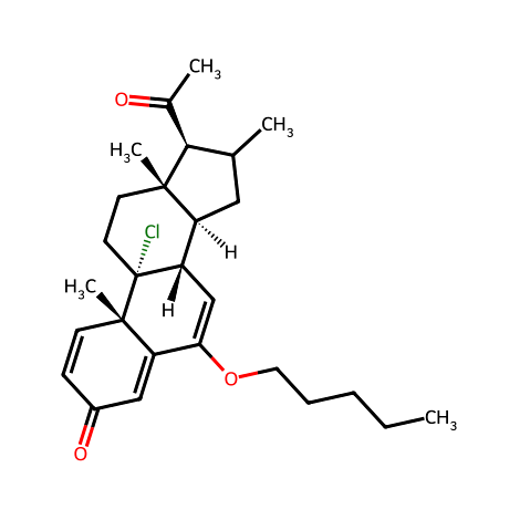 CCCCCOC1=C[C@H]2[C@@H]3CC(C)[C@H](C(C)=O)[C@@]3(C)CC[C@]2(Cl)[C@@]2(C)C=CC(=O)C=C12